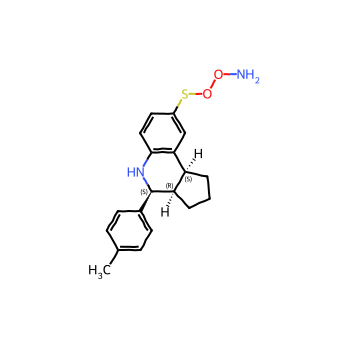 Cc1ccc([C@H]2Nc3ccc(SOON)cc3[C@H]3CCC[C@H]32)cc1